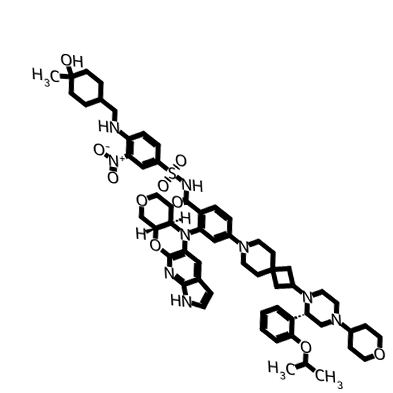 CC(C)Oc1ccccc1[C@H]1CN(C2CCOCC2)CCN1C1CC2(CCN(c3ccc(C(=O)NS(=O)(=O)c4ccc(NCC5CCC(C)(O)CC5)c([N+](=O)[O-])c4)c(N4c5cc6cc[nH]c6nc5O[C@@H]5COCC[C@H]54)c3)CC2)C1